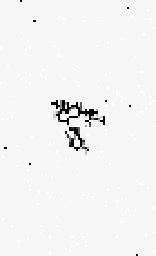 CNc1ncc(-c2nc3ccc(F)cn3n2)c2cc(NC(=O)C3CC3)ncc12